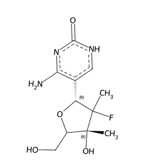 CC1(F)[C@@H](c2c[nH]c(=O)nc2N)OC(CO)[C@@]1(C)O